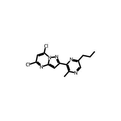 CCCc1cnc(C)c(-c2cc3nc(Cl)cc(Cl)n3n2)n1